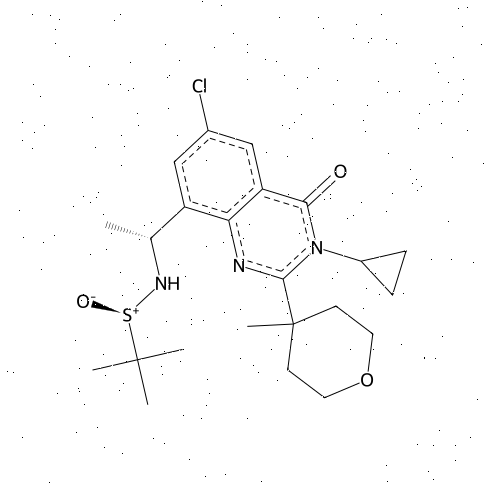 C[C@@H](N[S@+]([O-])C(C)(C)C)c1cc(Cl)cc2c(=O)n(C3CC3)c(C3(C)CCOCC3)nc12